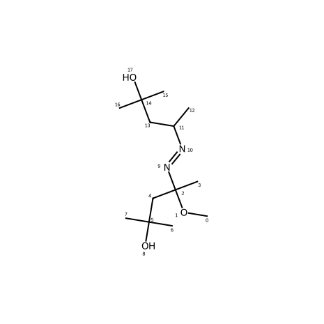 COC(C)(CC(C)(C)O)/N=N/C(C)CC(C)(C)O